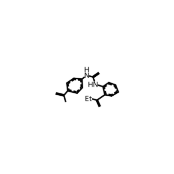 C=C(Nc1ccc(C(=C)C)cc1)Nc1ccccc1C(=C)CC